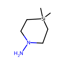 C[Si]1(C)CCN(N)CC1